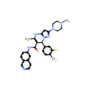 CC1=C(C(=O)Nc2ccc3cnccc3c2)C(c2ccc(C(F)(F)F)c(F)c2)n2nc(N3CCN(C)CC3)cc2N1